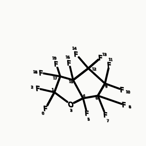 FC1(F)OC2(F)C(F)(F)C(F)(F)C(F)(F)C2(F)C1(F)F